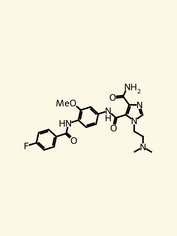 COc1cc(NC(=O)c2c(C(N)=O)ncn2CCN(C)C)ccc1NC(=O)c1ccc(F)cc1